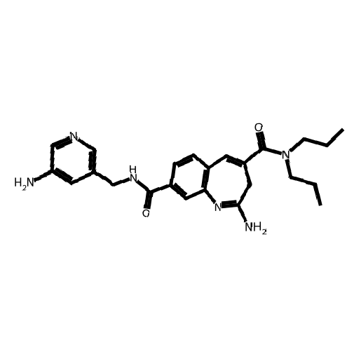 CCCN(CCC)C(=O)C1=Cc2ccc(C(=O)NCc3cncc(N)c3)cc2N=C(N)C1